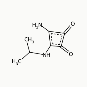 CC(C)Nc1c(N)c(=O)c1=O